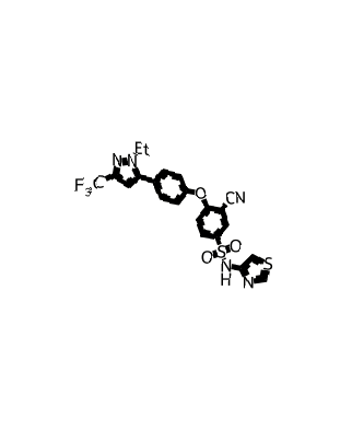 CCn1nc(C(F)(F)F)cc1-c1ccc(Oc2ccc(S(=O)(=O)Nc3cscn3)cc2C#N)cc1